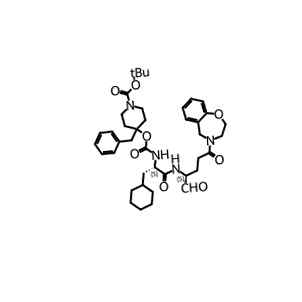 CC(C)(C)OC(=O)N1CCC(Cc2ccccc2)(OC(=O)N[C@@H](CC2CCCCC2)C(=O)N[C@H](C=O)CCC(=O)N2CCOc3ccccc3C2)CC1